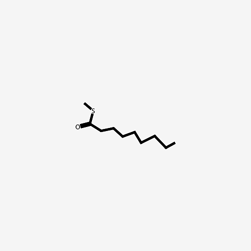 CCCCCCCCC(=O)SC